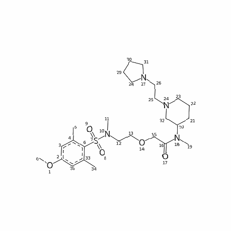 COc1cc(C)c(S(=O)(=O)N(C)CCOCC(=O)N(C)C2CCCN(CCN3CCCC3)C2)c(C)c1